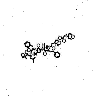 CC(C)C[C@H](NC(=O)[C@H](Cc1ccccc1)N1C(=O)[C@@H](NC(=O)[C@H](CCc2ccccc2)NC(=O)Cc2cc(OC(=O)CN3CCOCC3)on2)CC1C)C(=O)C1(C)CO1